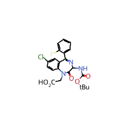 CC(C)(C)OC(=O)NC1N=C(c2ccccc2F)c2cc(Cl)ccc2N(CC(=O)O)C1=O